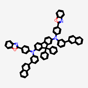 c1ccc(C2(c3ccccc3)c3cc(N(c4ccc(-c5nc6ccccc6o5)cc4)c4cccc(-c5ccc6ccccc6c5)c4)ccc3-c3ccc(N(c4ccc(-c5nc6ccccc6o5)cc4)c4cccc(-c5ccc6ccccc6c5)c4)cc32)cc1